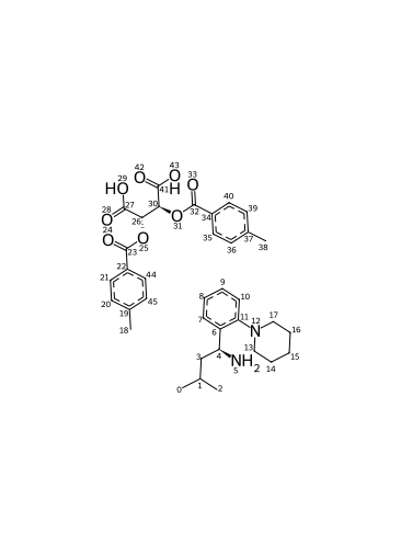 CC(C)C[C@H](N)c1ccccc1N1CCCCC1.Cc1ccc(C(=O)O[C@H](C(=O)O)[C@H](OC(=O)c2ccc(C)cc2)C(=O)O)cc1